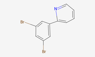 Brc1cc(Br)cc(-c2ccccn2)c1